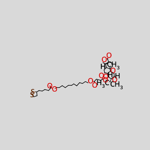 CC(C)[C@]12O[C@H]1[C@@H]1O[C@@]13[C@@]1(C)CCC4=C(COC4=O)[C@@H]1CC1O[C@@]13[C@@H]2OC(=O)CCC(=O)OCCCCCCCCCCCCOC(=O)CCCCC1CCSS1